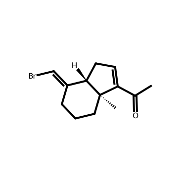 CC(=O)C1=CC[C@H]2C(=CBr)CCC[C@]12C